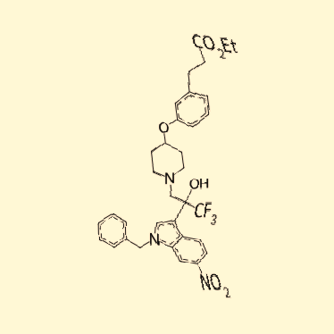 CCOC(=O)CCc1cccc(OC2CCN(CC(O)(c3cn(Cc4ccccc4)c4cc([N+](=O)[O-])ccc34)C(F)(F)F)CC2)c1